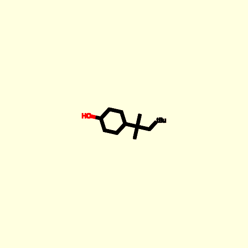 CC(C)(C)CC(C)(C)C1CCC(O)CC1